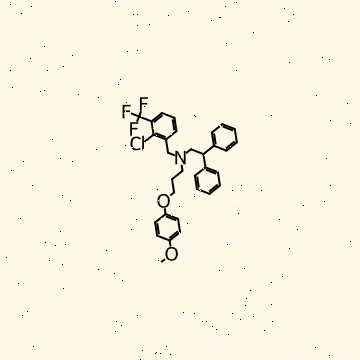 COc1ccc(OCCCN(Cc2cccc(C(F)(F)F)c2Cl)CC(c2ccccc2)c2ccccc2)cc1